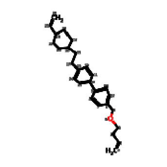 C=CCCOCc1ccc(-c2ccc(CCC3CCC(C=C)CC3)cc2)cc1